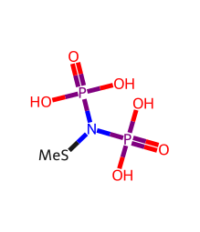 CSN(P(=O)(O)O)P(=O)(O)O